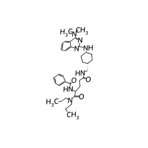 CCCN(CCC)C(=O)C(CCC(=O)NC[C@H]1CC[C@@H](Nc2nc(N(C)C)c3ccccc3n2)CC1)NC(=O)c1ccccc1